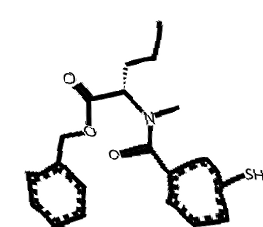 CCC[C@@H](C(=O)OCc1ccccc1)N(C)C(=O)c1cccc(S)c1